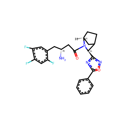 N[C@@H](CC(=O)N1[C@H]2CCC(C2)[C@H]1c1noc(-c2ccccc2)n1)Cc1cc(F)c(F)cc1F